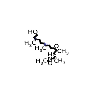 CC(=O)NC(C)SCC(C)C(=O)CC/C(C)=C/CC/C(C)=C\CO